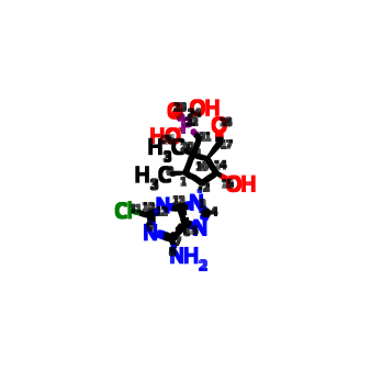 C[C@@H]1[C@@H](n2cnc3c(N)nc(Cl)nc32)[C@H](O)[C@H](C=O)[C@@]1(C)CP(=O)(O)O